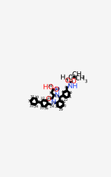 CC(C)(C)OC(=O)NCc1cccc(C2NC(CC(=O)O)C(=O)N(Cc3ccc(-c4ccccc4)cc3)c3ccccc32)c1